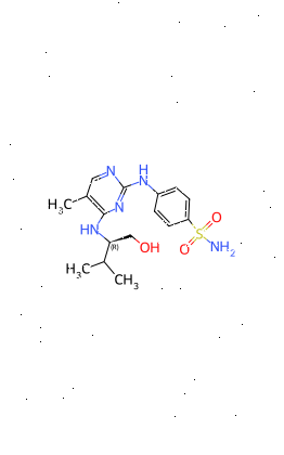 Cc1cnc(Nc2ccc(S(N)(=O)=O)cc2)nc1N[C@@H](CO)C(C)C